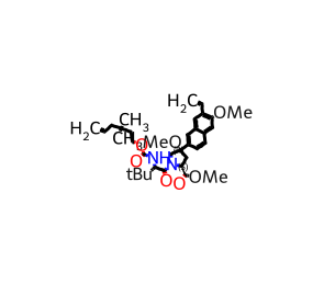 C=CCC(C)(C)CCOC(=O)NC(C(=O)N1C[C@](OC)(c2ccc3cc(OC)c(C=C)cc3c2)C[C@H]1C(=O)OC)C(C)(C)C